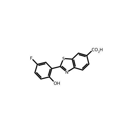 O=C(O)c1ccc2nc(-c3cc(F)ccc3O)sc2c1